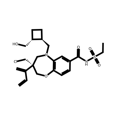 C=CC(=C)[C@]1(CCl)COc2ccc(C(=O)NS(=O)(=O)CC)cc2N(C[C@@H]2CC[C@H]2CO)C1